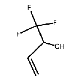 [CH]=CC(O)C(F)(F)F